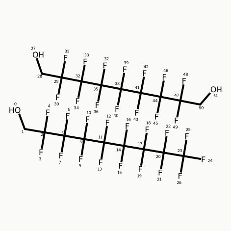 OCC(F)(F)C(F)(F)C(F)(F)C(F)(F)C(F)(F)C(F)(F)C(F)(F)C(F)(F)F.OCC(F)(F)C(F)(F)C(F)(F)C(F)(F)C(F)(F)C(F)(F)C(F)(F)CO